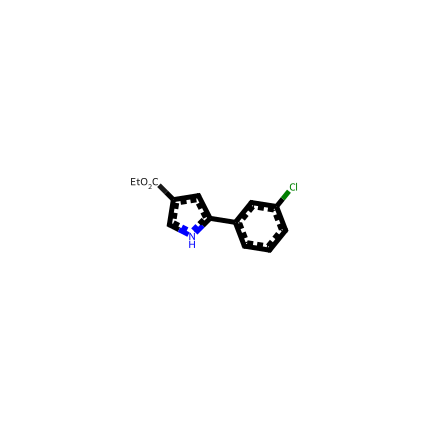 CCOC(=O)c1c[nH]c(-c2cccc(Cl)c2)c1